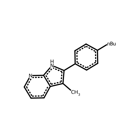 CCCCc1ccc(-c2[nH]c3ncccc3c2C)cc1